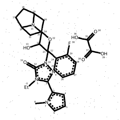 CCn1c(-c2cccn2C)nn(CC(O)CN2C3CCC2CC(OCc2ccccc2F)C3)c1=O.O=C(O)C(=O)O